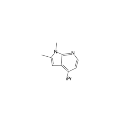 Cc1cc2c(C(C)C)ccnc2n1C